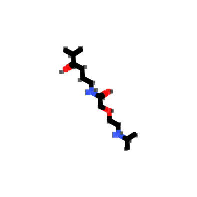 CC(C)NCCOCC(=O)NCCCC(=O)C(C)C